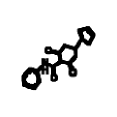 O=C1CC(C2=CC=CC2)CC(=O)C1C(=O)Nc1ccccc1